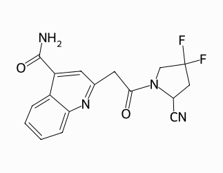 N#CC1CC(F)(F)CN1C(=O)Cc1cc(C(N)=O)c2ccccc2n1